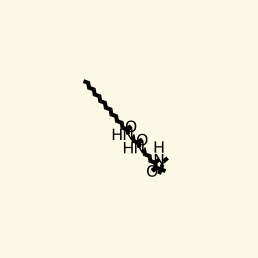 CCCCCCCCCCCCCCCC(=O)NCCC(=O)NCCCCC(NCC)C(=O)C(C)(C)C